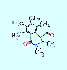 Cc1c(C)c(C)c2c(c1C)C(=O)N(C)C(C)C2C=O